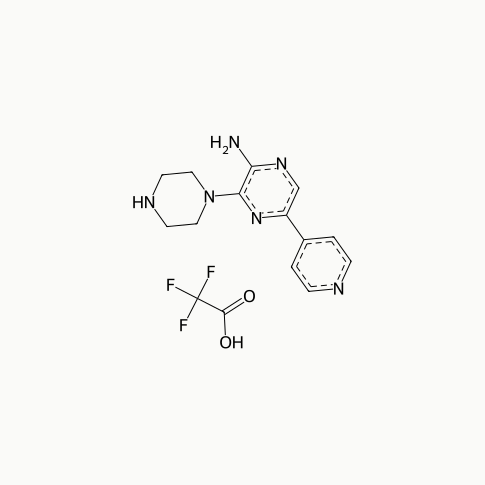 Nc1ncc(-c2ccncc2)nc1N1CCNCC1.O=C(O)C(F)(F)F